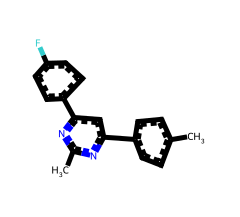 Cc1ccc(-c2cc(-c3ccc(F)cc3)nc(C)n2)cc1